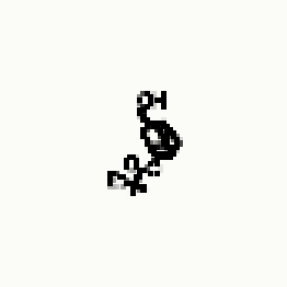 CCC(C)(C)C(=O)OC1C2CC3CC1CC(CO)(C3)C2